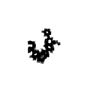 C[C@@H](Oc1cc(-c2cc3n(n2)CCC32CCN(C(=O)OC(C)(C)C)C2)cnc1N)c1ccccn1